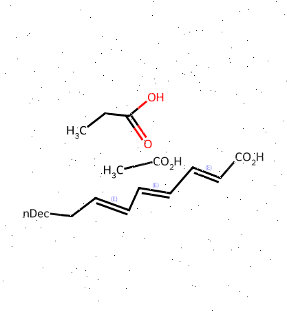 CC(=O)O.CCC(=O)O.CCCCCCCCCCC/C=C/C=C/C=C/C(=O)O